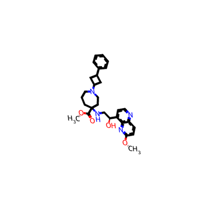 COC(=O)C1(NC[C@H](O)c2ccnc3ccc(OC)nc23)CCCN(C2CC(c3ccccc3)C2)CC1